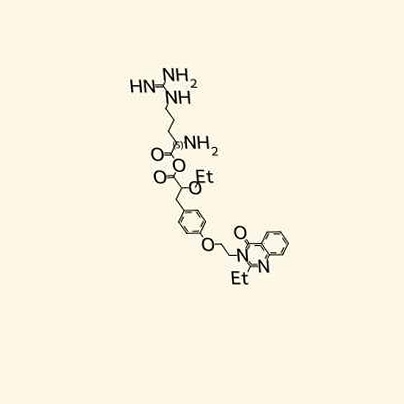 CCOC(Cc1ccc(OCCn2c(CC)nc3ccccc3c2=O)cc1)C(=O)OC(=O)[C@@H](N)CCCNC(=N)N